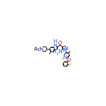 CC(=O)N1CCC(c2cc3[nH]c(C(=O)c4cnn(-c5cnc(Oc6c(F)cccc6F)cc5C)c4N)cc3cc2C)CC1